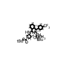 CC(C)(C)OC(=O)N1C[C@H](CO[Si](C)(C)C(C)(C)C)[C@H](Nc2nnc(-c3ccc(C(F)(F)F)cc3)c3ccccc23)C1